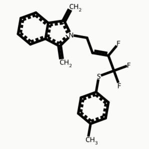 C=c1c2ccccc2c(=C)n1C/C=C(\F)C(F)(F)Sc1ccc(C)cc1